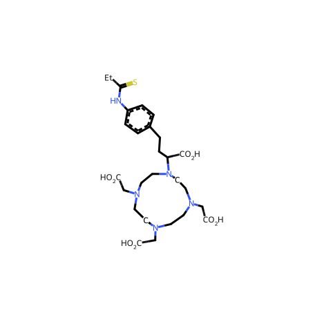 CCC(=S)Nc1ccc(CCC(C(=O)O)N2CCN(CC(=O)O)CCN(CC(=O)O)CCN(CC(=O)O)CC2)cc1